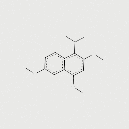 COc1ccc2c(C(C)C)c(OC)cc(OC)c2c1